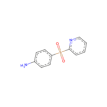 Nc1ccc(S(=O)(=O)c2ccccn2)cc1